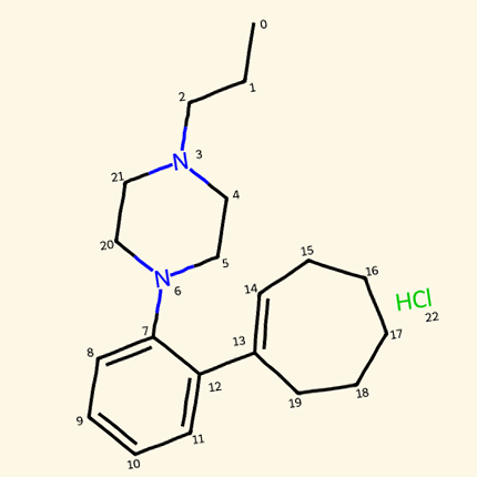 CCCN1CCN(c2ccccc2C2=CCCCCC2)CC1.Cl